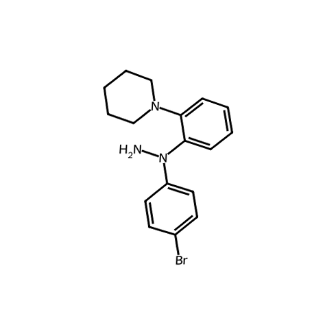 NN(c1ccc(Br)cc1)c1ccccc1N1CCCCC1